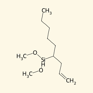 C=CCC(CCCCC)[SiH](OC)OC